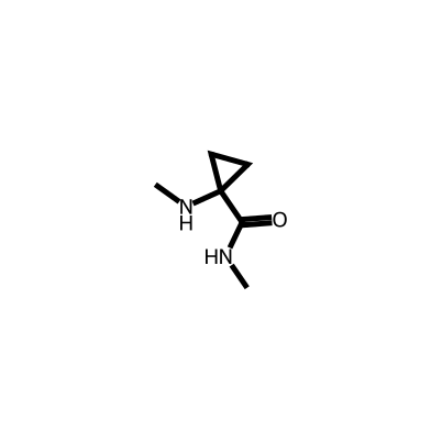 CNC(=O)C1(NC)CC1